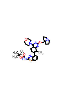 Cc1c(-c2cccc3sc(NC(=O)OC(C)(C)C)nc23)ccc2c(N3CCCOCC3)nc(OCC34CCCN3CCC4)nc12